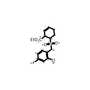 CCOC(=O)C1C=CCCC1S(=O)(=O)Cc1ccc(F)cc1Cl